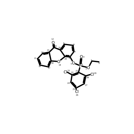 CCOP(=O)(Oc1cccc2c(=O)c3ccccc3oc12)c1c(Cl)cc(Cl)cc1Cl